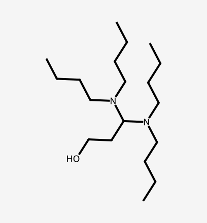 CCCCN(CCCC)C(CCO)N(CCCC)CCCC